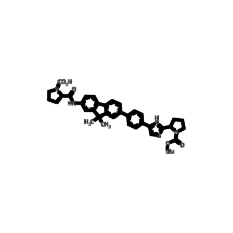 CC(C)(C)OC(=O)N1CCCC1c1ncc(-c2ccc(-c3ccc4c(c3)C(C)(C)c3cc(NC(=O)C5CCCN5C(=O)O)ccc3-4)cc2)[nH]1